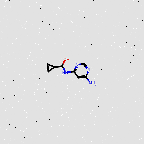 Nc1cc(NC(O)C2CC2)ncn1